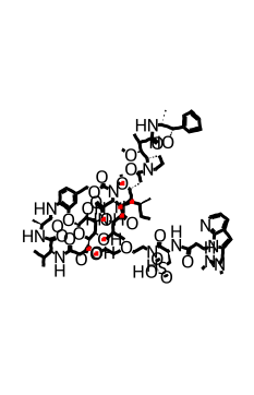 CC[C@H](C)C([C@@H](CC(=O)N1CCC[C@H]1[C@H](OC)C(C)C(=O)N[C@H](C)[C@@H](O)c1ccccc1)OC)N(C)C(=O)[C@@H](NC(=O)[C@H](C(C)C)N(C)C(=O)OCc1ccc(NC(=O)[C@H](C)NC(=O)[C@@H](NC(=O)CCOCCOCCNC(=O)[C@H](CS(=O)(=O)O)NC(=O)CCn2c(CN(C)NC)cc3cccnc32)C(C)C)c(O[C@@H]2O[C@H](C(=O)O)[C@@H](O)[C@H](O)[C@H]2O)c1)C(C)C